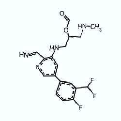 CNCC(CNc1cc(-c2ccc(F)c(C(F)F)c2)cnc1C=N)OC=O